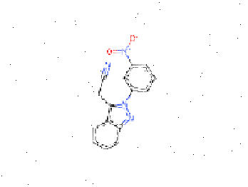 N#CCc1c2ccccc2nn1-c1cccc([N+](=O)[O-])c1